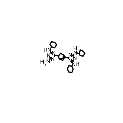 Nc1nc(NC2CCCCC2)nc(C2CC3CC2CC3c2nc(NC3CCCCC3)nc(NC3CCCCC3)n2)n1